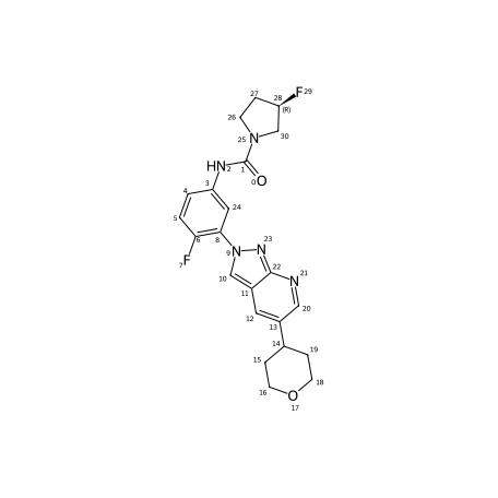 O=C(Nc1ccc(F)c(-n2cc3cc(C4CCOCC4)cnc3n2)c1)N1CC[C@@H](F)C1